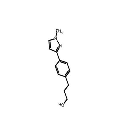 Cn1ccc(-c2ccc(CCCO)cc2)n1